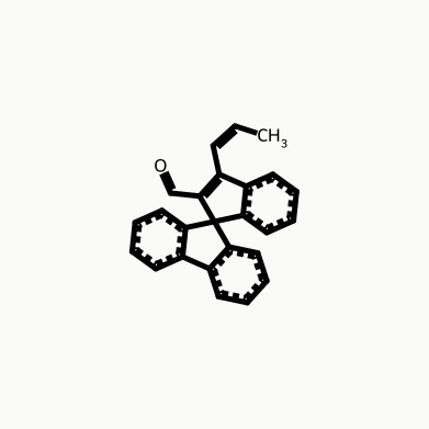 C/C=C\C1=C(C=O)C2(c3ccccc31)c1ccccc1-c1ccccc12